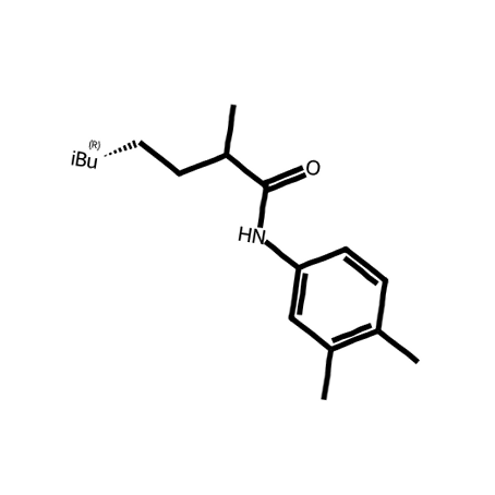 CC[C@@H](C)CCC(C)C(=O)Nc1ccc(C)c(C)c1